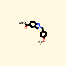 COC(=O)c1ccc2nn(Cc3ccc(OC(F)(F)F)cc3)cc2c1